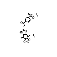 Cn1c(=S)c2[nH]c(SCC(=O)c3ccc(S(C)(=O)=O)cc3)nc2n(C)c1=O